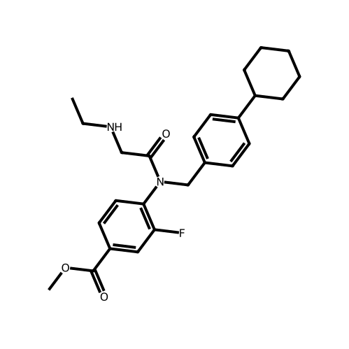 CCNCC(=O)N(Cc1ccc(C2CCCCC2)cc1)c1ccc(C(=O)OC)cc1F